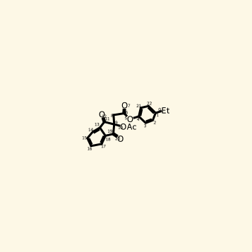 CCc1ccc(OC(=O)CC2(OC(C)=O)C(=O)c3ccccc3C2=O)cc1